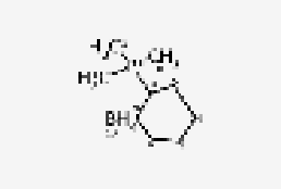 C[P+](C)(C)C1CCCCC1.[BH4-]